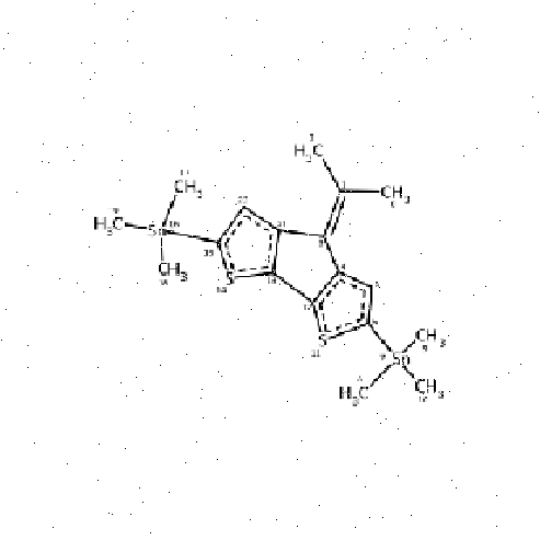 CC(C)=C1c2c[c]([Sn]([CH3])([CH3])[CH3])sc2-c2s[c]([Sn]([CH3])([CH3])[CH3])cc21